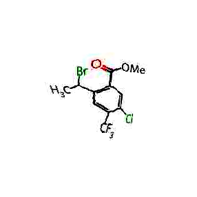 COC(=O)c1cc(Cl)c(C(F)(F)F)cc1C(C)Br